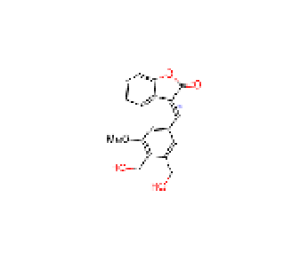 COc1cc(/C=C2/C(=O)Oc3ccccc32)cc(CO)c1CO